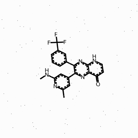 CNc1cc(-c2nc3c(=O)cc[nH]c3nc2-c2cccc(C(F)(F)F)c2)cc(C)n1